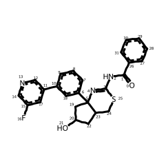 O=C(NC1=NC2(c3cccc(-c4cncc(F)c4)c3)CC(O)CC2CS1)c1ccccc1